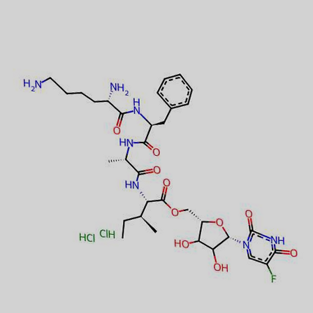 CC[C@H](C)[C@H](NC(=O)[C@H](C)NC(=O)[C@H](Cc1ccccc1)NC(=O)[C@@H](N)CCCCN)C(=O)OC[C@@H]1O[C@H](n2cc(F)c(=O)[nH]c2=O)C(O)C1O.Cl.Cl